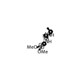 C#Cc1cccc(Nc2ncnc3nc(Nc4ccc(S(=O)(=O)N(CCOC)CCOC)cc4)sc23)c1